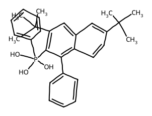 CC(C)(C)c1ccc2c(-c3ccccc3)c(P(O)(O)(O)c3ccccc3)c(C(C)(C)C)cc2c1